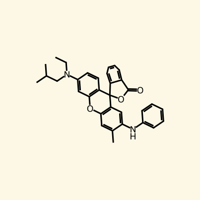 CCN(CC(C)C)c1ccc2c(c1)Oc1cc(C)c(Nc3ccccc3)cc1C21OC(=O)c2ccccc21